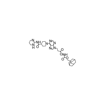 O=C(CCn1cnc2c(N3CCC(C(=O)NC4=NCCCN4)CC3)ncnc21)ONC(=O)OCC12CC3CC(CC(C3)C1)C2